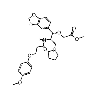 COC(=O)CO[C@H](c1ccc2c(c1)OCO2)[C@@H](CN1CCCC1)NC(=O)CCOc1ccc(OC)cc1